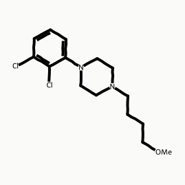 [CH2]OCCCCN1CCN(c2cccc(Cl)c2Cl)CC1